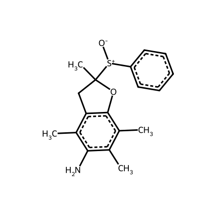 Cc1c(C)c2c(c(C)c1N)CC(C)([S+]([O-])c1ccccc1)O2